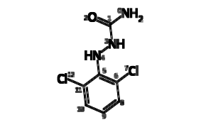 NC(=O)NNc1c(Cl)cccc1Cl